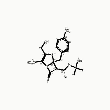 C[C@@H](O[Si](C)(C)C(C)(C)C)[C@H]1C(=O)N2C(C(=O)O)=C(CO)S[C@]12Cc1ccc([N+](=O)[O-])cc1